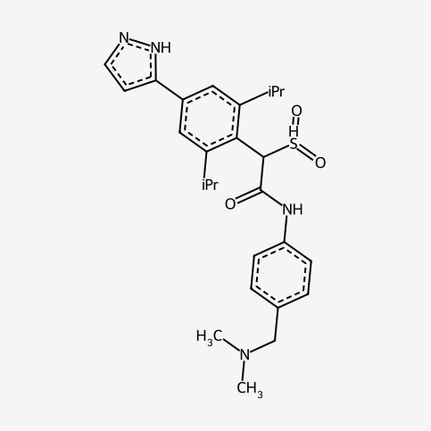 CC(C)c1cc(-c2ccn[nH]2)cc(C(C)C)c1C(C(=O)Nc1ccc(CN(C)C)cc1)[SH](=O)=O